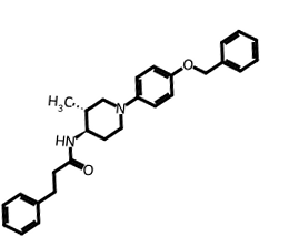 C[C@@H]1CN(c2ccc(OCc3ccccc3)cc2)CC[C@H]1NC(=O)CCc1ccccc1